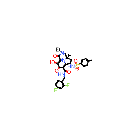 CCN1C[C@H]2C[C@H](NS(=O)(=O)c3ccc(C)cc3)c3c(C(=O)NCc4ccc(F)cc4F)c(=O)c(O)c(n32)C1=O